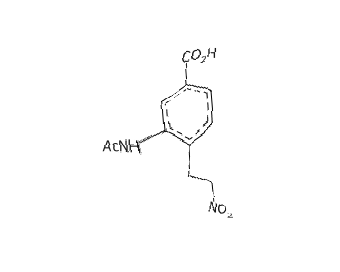 CC(=O)Nc1cc(C(=O)O)ccc1CC[N+](=O)[O-]